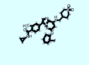 Cc1cc(-c2cnc3c(NCC4CCS(=O)(=O)CC4)cc(Oc4ccccc4F)nn23)ccc1C(=O)NC1CC1